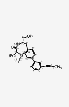 CC#Cc1cccc(-c2ccc3c(c2)N(C)[C@@H](C(C)C)C(=O)N[C@H](CO)C3)c1